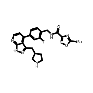 CC(C)(C)c1nc(C(=O)NCc2ccc(-c3ccnc4[nH]nc(CC5CCNC5)c34)cc2F)no1